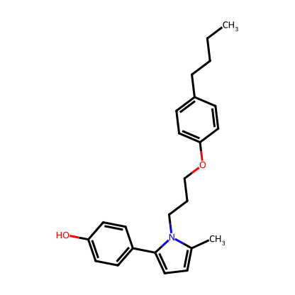 CCCCc1ccc(OCCCn2c(C)ccc2-c2ccc(O)cc2)cc1